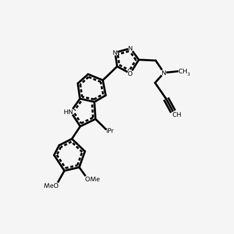 C#CCN(C)Cc1nnc(-c2ccc3[nH]c(-c4ccc(OC)c(OC)c4)c(C(C)C)c3c2)o1